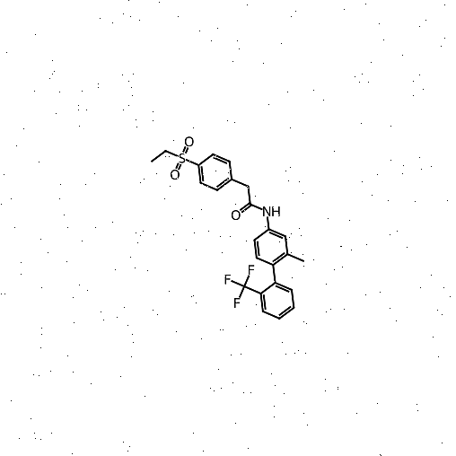 CCS(=O)(=O)c1ccc(CC(=O)Nc2ccc(-c3ccccc3C(F)(F)F)c(C)c2)cc1